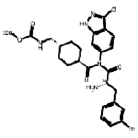 CC(C)(C)OC(=O)NC[C@H]1CC[C@H](C(=O)N(C(=O)[C@@H](N)Cc2cccc(Br)c2)c2ccc3c(Cl)n[nH]c3c2)CC1